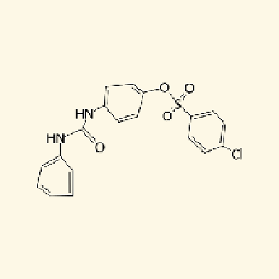 O=C(Nc1ccccc1)Nc1ccc(OS(=O)(=O)c2ccc(Cl)cc2)cc1